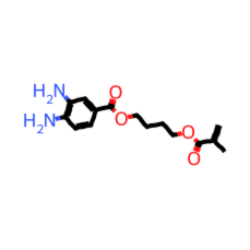 C=C(C)C(=O)OCCCCOC(=O)c1ccc(N)c(N)c1